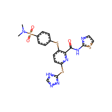 CN(C)S(=O)(=O)c1ccc(Sc2ccc(Sc3nnc[nH]3)nc2C(=O)Nc2nccs2)cc1